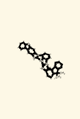 CC1(C)c2ccccc2-c2c1ccc1nc3n(c4cccc5c4n3c3nc4cc6c(cc4n53)oc3ccccc36)c21